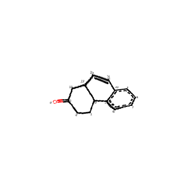 O=C1CCC2c3ccccc3C=CC2C1